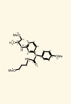 COCCCNC(=O)N(c1ccc(OC)cc1)c1ccnc(N[C@@H](C)COC)n1